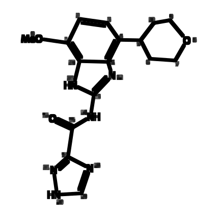 COc1ccc(C2CCOCC2)c2nc(NC(=O)c3nc[nH]n3)[nH]c12